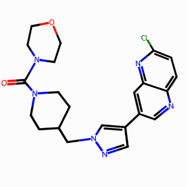 O=C(N1CCOCC1)N1CCC(Cn2cc(-c3cnc4ccc(Cl)nc4c3)cn2)CC1